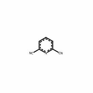 N#Cc1cccc(C#N)n1